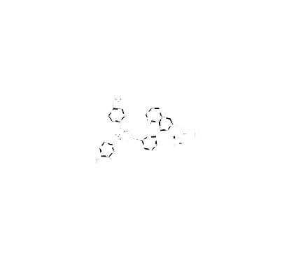 CSc1ccc(N(CCc2cccc(-c3cc(CC(C)S(C)(=O)=O)cc4cccnc34)c2)S(=O)(=O)c2ccc(Cl)c(Cl)c2)cc1